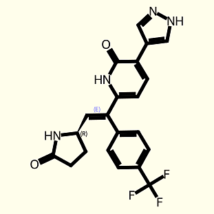 O=C1CC[C@H](/C=C(\c2ccc(C(F)(F)F)cc2)c2ccc(-c3cn[nH]c3)c(=O)[nH]2)N1